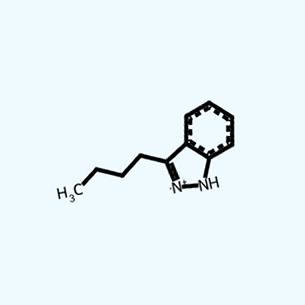 CCCCC1=[N+]Nc2ccccc21